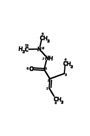 C/C=C(\CC)C(=O)NN(C)C